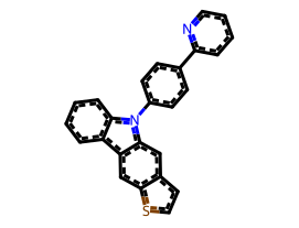 c1ccc(-c2ccc(-n3c4ccccc4c4cc5sccc5cc43)cc2)nc1